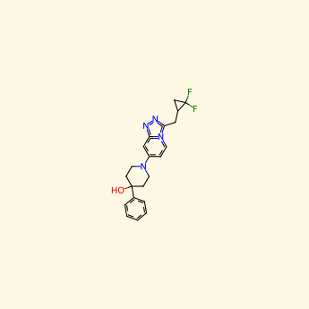 OC1(c2ccccc2)CCN(c2ccn3c(CC4CC4(F)F)nnc3c2)CC1